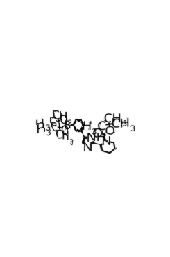 CC(C)(C)OC(=O)N1CCCC[C@H]1c1ncc(-c2cccc(B3OC(C)(C)C(C)(C)O3)c2)[nH]1